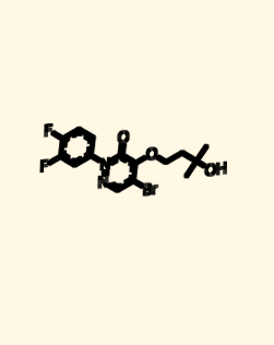 CC(C)(O)CCOc1c(Br)cnn(-c2ccc(F)c(F)c2)c1=O